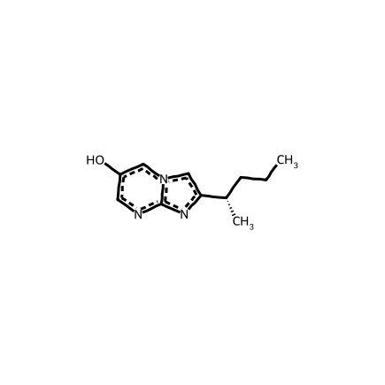 CCC[C@H](C)c1cn2cc(O)cnc2n1